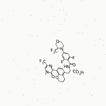 Cn1cc(C(F)(F)F)nc(-c2ccc(C[C@H](NC(=O)c3c(F)cc(N4CCOC[C@@H]4C(F)(F)F)cc3F)C(=O)O)c3c2OCCC3)c1=O